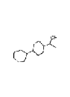 CC(O)C1CCC(C2CCCCC2)CC1